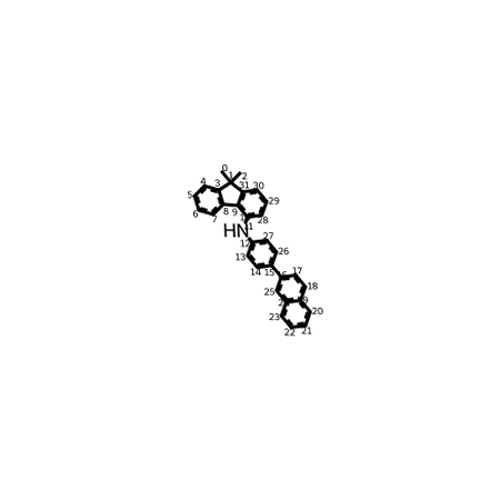 CC1(C)c2ccccc2-c2c(Nc3ccc(-c4ccc5ccccc5c4)cc3)cccc21